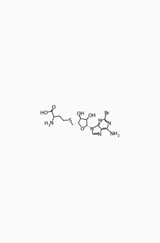 Nc1nc(Br)nc2c1ncn2[C@@H]1O[C@H](CSCCC(N)C(=O)O)[C@@H](O)[C@H]1O